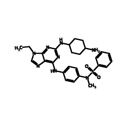 CCn1cnc2c(Nc3ccc(N(C)S(=O)(=O)c4ccccc4)cc3)nc(NC3CCC(N)CC3)nc21